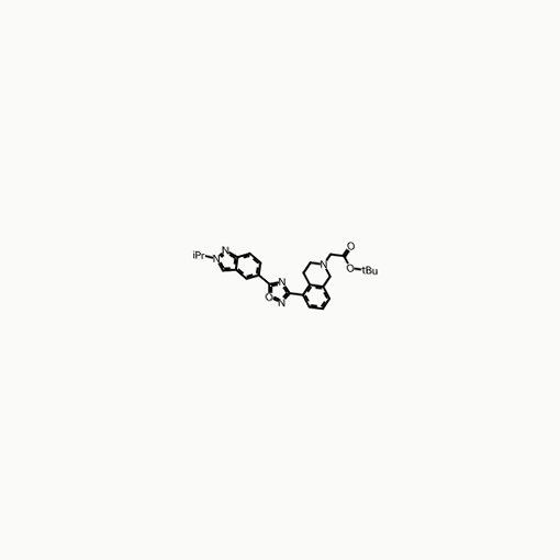 CC(C)n1cc2cc(-c3nc(-c4cccc5c4CCN(CC(=O)OC(C)(C)C)C5)no3)ccc2n1